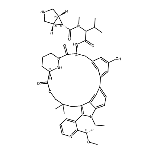 CCn1c(-c2cccnc2[C@H](C)OC)c2c3cc(ccc31)-c1cc(O)cc(c1)C[C@H](NC(=O)C(C(C)C)N(C)C(=O)[C@@H]1[C@@H]3CNC[C@@H]31)C(=O)N1CCC[C@H](N1)C(=O)OCC(C)(C)C2